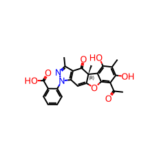 CC(=O)c1c(O)c(C)c(O)c2c1OC1=Cc3c(c(C)nn3-c3ccccc3C(=O)O)C(=O)[C@@]12C